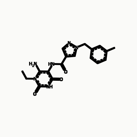 CCn1c(N)c(NC(=O)c2cnn(Cc3cccc(C)c3)c2)c(=O)[nH]c1=O